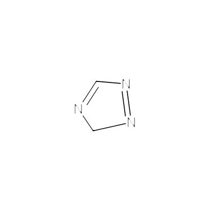 [C]1=NCN=N1